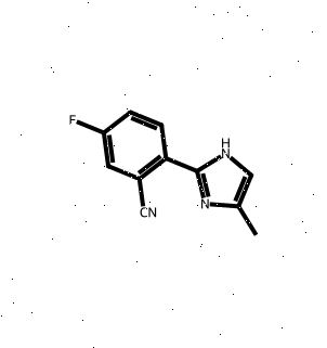 Cc1c[nH]c(-c2ccc(F)cc2C#N)n1